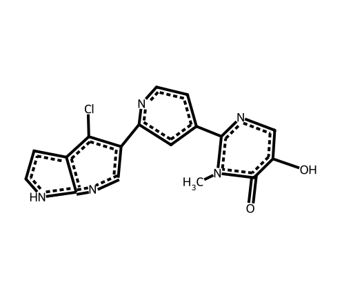 Cn1c(-c2ccnc(-c3cnc4[nH]ccc4c3Cl)c2)ncc(O)c1=O